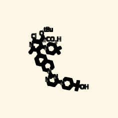 Cc1nc(Cl)c([C@H](OC(C)(C)C)C(=O)O)c(N2CCC(C)(C)CC2)c1-c1ccc2c(c1)CCN(c1nccc(N3CCC(C(C)(C)O)CC3)n1)C2